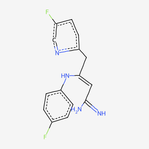 N=C(N)/C=C(/Cc1ccc(F)cn1)Nc1ccc(F)cc1